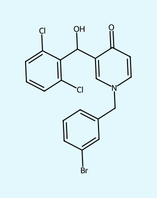 O=c1ccn(Cc2cccc(Br)c2)cc1C(O)c1c(Cl)cccc1Cl